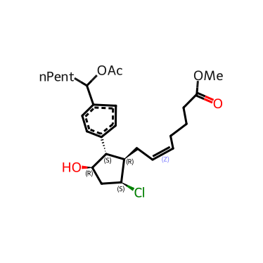 CCCCCC(OC(C)=O)c1ccc([C@@H]2[C@@H](C/C=C\CCCC(=O)OC)[C@@H](Cl)C[C@H]2O)cc1